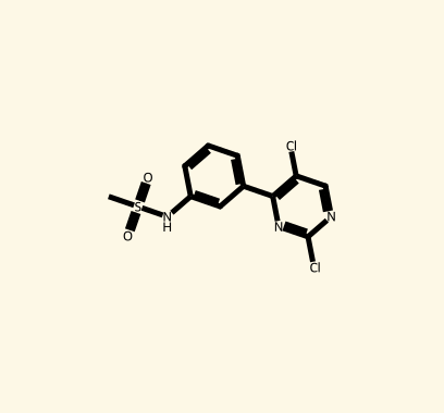 CS(=O)(=O)Nc1cccc(-c2nc(Cl)ncc2Cl)c1